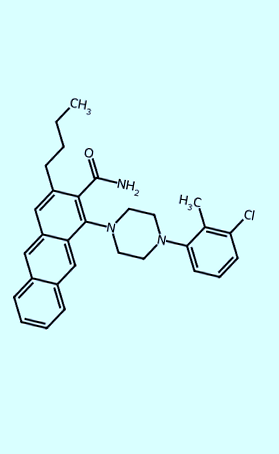 CCCCc1cc2cc3ccccc3cc2c(N2CCN(c3cccc(Cl)c3C)CC2)c1C(N)=O